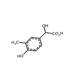 Cc1cc(C(O)C(=O)O)ccc1O